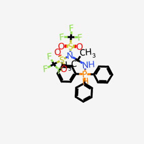 CC(C)(N[PH](c1ccccc1)(c1ccccc1)c1ccccc1)N(S(=O)(=O)C(F)(F)F)S(=O)(=O)C(F)(F)F